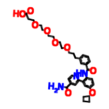 NC(=O)c1ccnc(-c2cc(OC3CCC3)ccc2NC(=O)c2cccc(CCCOCCOCCOCCOCCC(=O)O)c2)c1